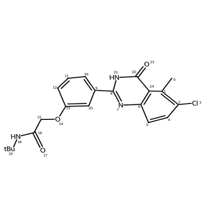 Cc1c(Cl)ccc2nc(-c3cccc(OCC(=O)NC(C)(C)C)c3)[nH]c(=O)c12